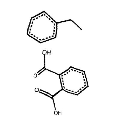 CCc1ccccc1.O=C(O)c1ccccc1C(=O)O